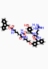 CC(C)(C)OC(=O)N[C@H](CCCCNC(=O)OCC1c2ccccc2-c2ccccc21)C(=O)NCCCCOc1cccc(C(C(=O)N[C@H](CCCNC(=N)N)C(=O)NCc2ccc(O)cc2)c2ccccc2)c1